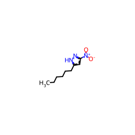 CCCCCCc1cc([N+](=O)[O-])n[nH]1